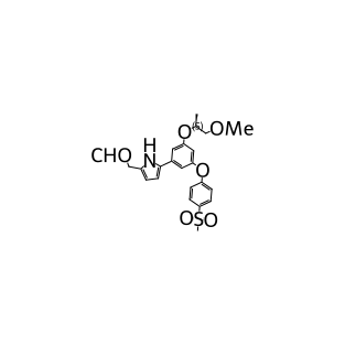 COC[C@H](C)Oc1cc(Oc2ccc(S(C)(=O)=O)cc2)cc(-c2ccc(CC=O)[nH]2)c1